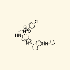 O=C1NCCN(S(=O)(=O)c2ccc(Cl)cc2)[C@@H]1Cc1cn([C@@H]2CCCc3cc(CNC4CCCC4)ccc32)nn1